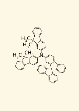 CC1(C)C2=C(C=CCC2)c2ccc(N(c3ccc4c(c3)C(C)(C)c3ccccc3-4)c3ccc4c(c3)C3(c5ccccc5-c5ccccc53)c3ccccc3-4)cc21